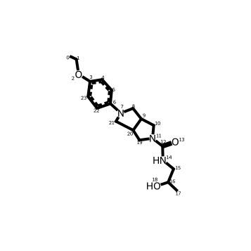 CCOc1ccc(N2CC3CN(C(=O)NCC(C)O)CC3C2)cc1